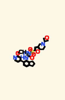 COc1cc(-c2ccc3c(c2NC(=O)NS(=O)(=O)c2cc4c(o2)CCN(C2COC2)C4)CCC3)ccn1